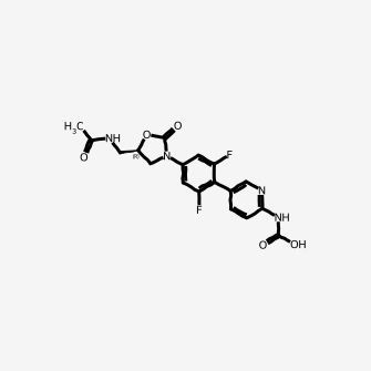 CC(=O)NC[C@@H]1CN(c2cc(F)c(-c3ccc(NC(=O)O)nc3)c(F)c2)C(=O)O1